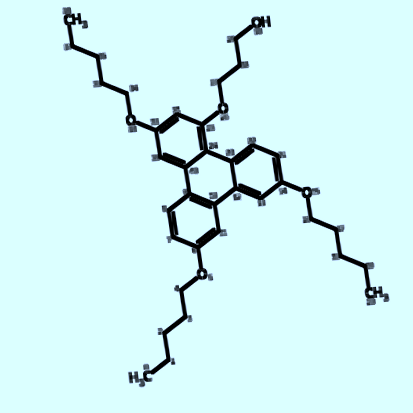 CCCCCOc1ccc2c(c1)c1cc(OCCCCC)ccc1c1c(OCCCO)cc(OCCCCC)cc21